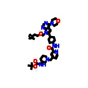 CC(C)(C)OC(=O)N[C@@H]1CCCN(Cc2ccnc(C(=O)NC3CCC(c4cc5c(N6CCOCC6)ncnc5n4COCC[Si](C)(C)C)CC3)c2)C1